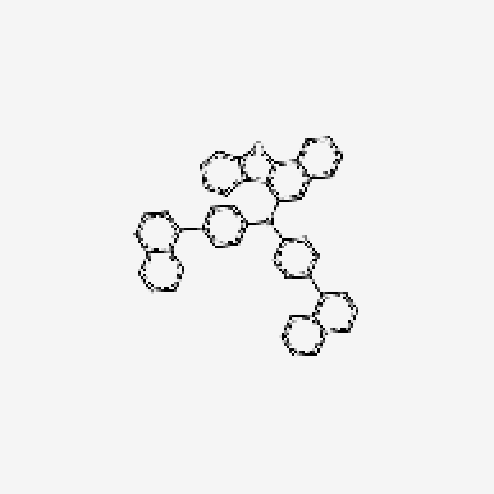 c1ccc2c(-c3ccc(N(c4ccc(-c5cccc6ccccc56)cc4)c4cc5ccccc5c5oc6ccccc6c45)cc3)cccc2c1